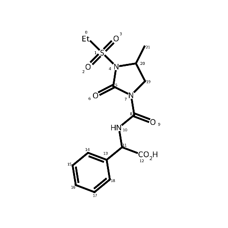 CCS(=O)(=O)N1C(=O)N(C(=O)NC(C(=O)O)c2ccccc2)CC1C